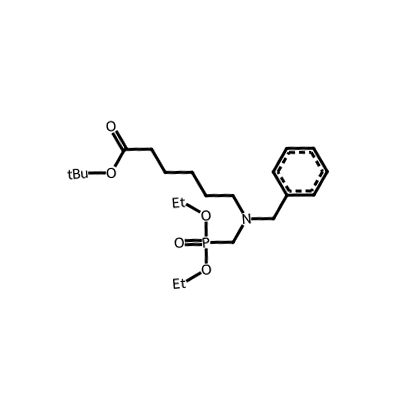 CCOP(=O)(CN(CCCCCC(=O)OC(C)(C)C)Cc1ccccc1)OCC